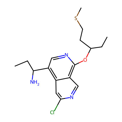 CCC(CCSC)Oc1ncc(C(N)CC)c2cc(Cl)ncc12